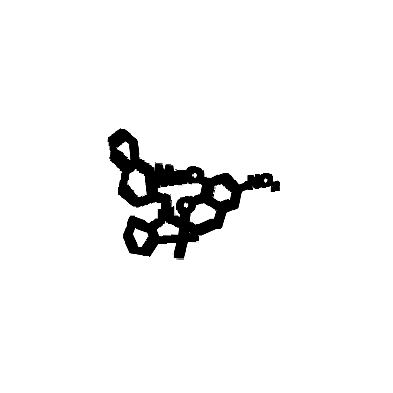 COc1cc([N+](=O)[O-])cc2c1OC1(C=C2)N(Cc2ccc3ccccc3c2)c2ccccc2C1(C)C